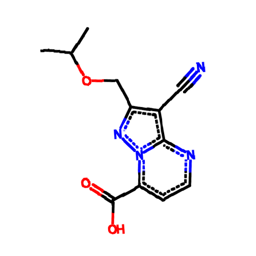 CC(C)OCc1nn2c(C(=O)O)ccnc2c1C#N